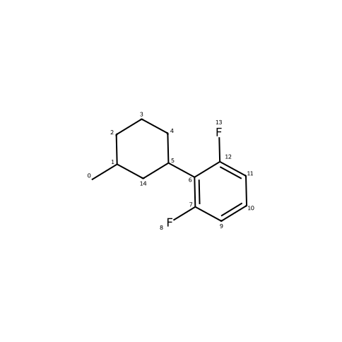 CC1CCCC(c2c(F)cccc2F)C1